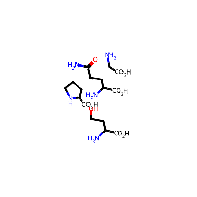 NC(=O)CCC(N)C(=O)O.NC(CCO)C(=O)O.NCC(=O)O.O=C(O)C1CCCN1